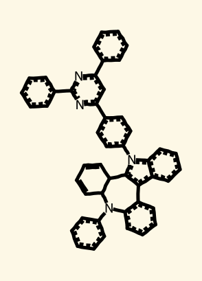 C1=CC2c3c(c4ccccc4n3-c3ccc(-c4cc(-c5ccccc5)nc(-c5ccccc5)n4)cc3)-c3ccccc3N(c3ccccc3)C2C=C1